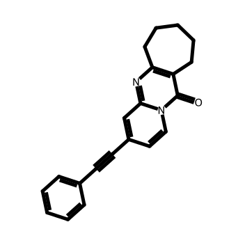 O=c1c2c(nc3cc(C#Cc4ccccc4)ccn13)CCCCC2